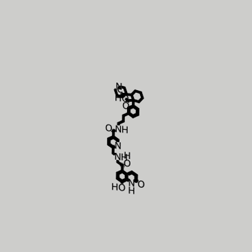 O=C(NCCCc1cccc(C2(C(=O)O)CCCCC2C2CN3CCC2CC3)c1)c1ccc(CNC[C@H](O)c2ccc(O)c3[nH]c(=O)ccc23)nc1